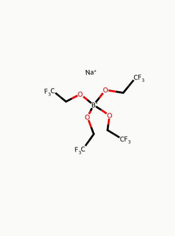 FC(F)(F)CO[B-](OCC(F)(F)F)(OCC(F)(F)F)OCC(F)(F)F.[Na+]